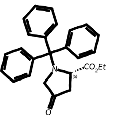 CCOC(=O)[C@@H]1CC(=O)CN1C(c1ccccc1)(c1ccccc1)c1ccccc1